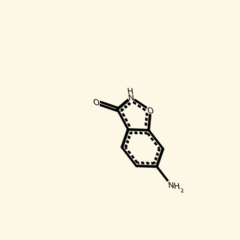 Nc1ccc2c(=O)[nH]oc2c1